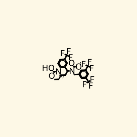 CC[C@@H]1CC(N(Cc2cc(C(F)(F)F)cc(C(F)(F)F)c2)C(=O)OC)c2cc(C(F)(F)F)ccc2N1C(=O)O